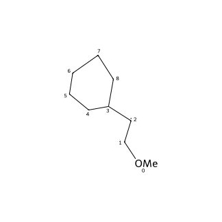 COC[CH]C1CCCCC1